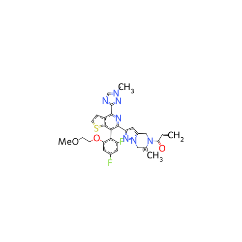 C=CC(=O)N1Cc2cc(-c3nc(-c4ncn(C)n4)c4ccsc4c3-c3c(F)cc(F)cc3OCCOC)nn2C[C@H]1C